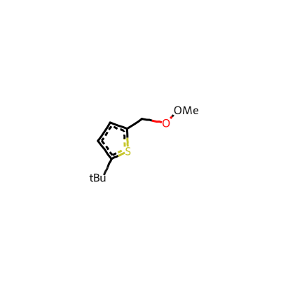 COOCc1ccc(C(C)(C)C)s1